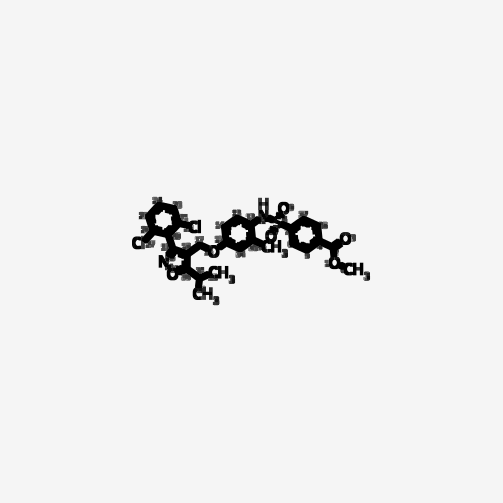 COC(=O)c1ccc(S(=O)(=O)Nc2ccc(OCc3c(-c4c(Cl)cccc4Cl)noc3C(C)C)cc2C)cc1